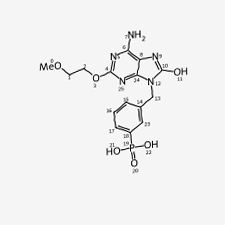 COCCOc1nc(N)c2nc(O)n(Cc3cccc(P(=O)(O)O)c3)c2n1